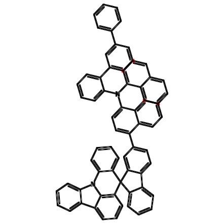 c1ccc(-c2cccc(-c3ccccc3N(c3cccc4ccccc34)c3ccc(-c4ccc5c(c4)C4(c6ccccc6-5)c5ccccc5-n5c6ccccc6c6cccc4c65)c4ccccc34)c2)cc1